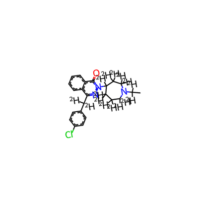 [2H]C([2H])(c1ccc(Cl)cc1)c1nn(C2([2H])C([2H])([2H])C([2H])([2H])N(C([2H])([2H])C)C([2H])([2H])C([2H])([2H])C2([2H])[2H])c(=O)c2ccccc12